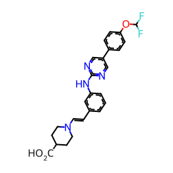 O=C(O)C1CCN(C=Cc2cccc(Nc3ncc(-c4ccc(OC(F)F)cc4)cn3)c2)CC1